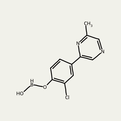 Cc1cncc(-c2ccc(OBO)c(Cl)c2)n1